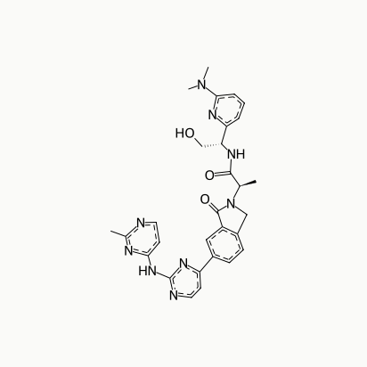 Cc1nccc(Nc2nccc(-c3ccc4c(c3)C(=O)N([C@H](C)C(=O)N[C@H](CO)c3cccc(N(C)C)n3)C4)n2)n1